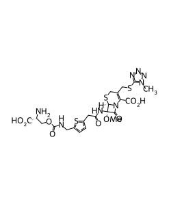 CO[C@@]1(NC(=O)Cc2ccc(CNC(=O)OC[C@@H](N)C(=O)O)s2)C(=O)N2C(C(=O)O)=C(CSc3nnnn3C)CS[C@@H]21